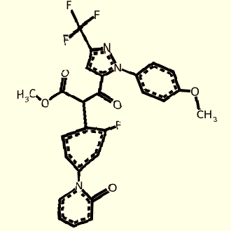 COC(=O)C(C(=O)c1cc(C(F)(F)F)nn1-c1ccc(OC)cc1)c1ccc(-n2ccccc2=O)cc1F